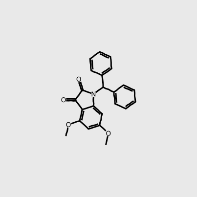 COc1cc(OC)c2c(c1)N(C(c1ccccc1)c1ccccc1)C(=O)C2=O